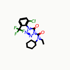 CCN(C(=O)n1nnn(-c2c(Cl)cccc2C(F)(F)F)c1=O)C1CCCCC1